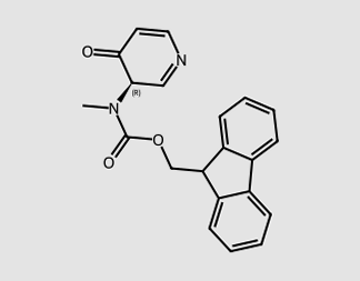 CN(C(=O)OCC1c2ccccc2-c2ccccc21)[C@@H]1C=NC=CC1=O